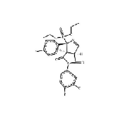 CCOP(=O)(OCC)[C@]1(c2ccc(F)cc2)N=C[C@H]2C(=O)N(c3ccc(F)c(Cl)c3)C(=O)[C@H]21